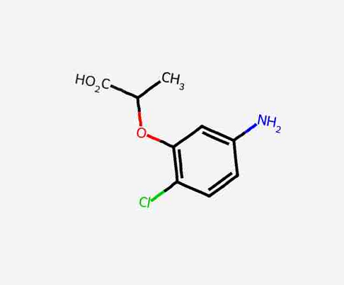 CC(Oc1cc(N)ccc1Cl)C(=O)O